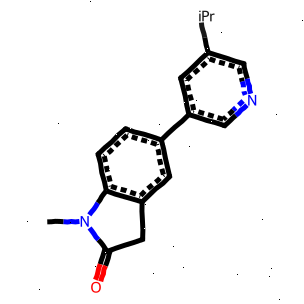 CC(C)c1cncc(-c2ccc3c(c2)CC(=O)N3C)c1